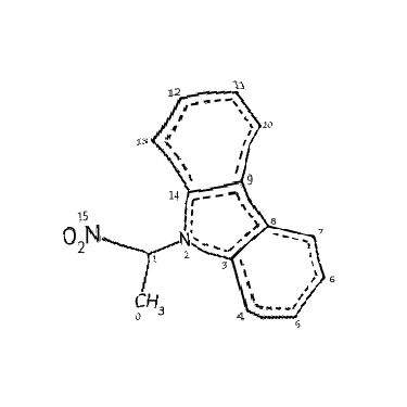 CC(n1c2ccccc2c2ccccc21)[N+](=O)[O-]